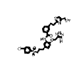 CC(C)Cc1csc(CCc2cccc(C(=O)Nc3cc(CCCS(=O)(=O)c4ccc(Cl)cc4)ccc3OCc3nnn[nH]3)c2)n1